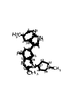 Cc1cnc2[nH]cc(-c3cc(F)c4nc(C)n(C5CCN(C)CC5)c4c3)c2c1